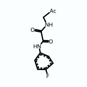 CC(=O)CNC(=O)C(=O)Nc1ccc(F)cc1